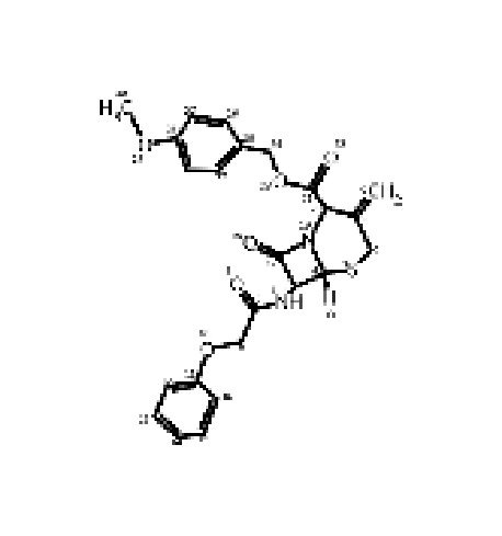 C=C1CS[C@@H]2C(NC(=O)COc3ccccc3)C(=O)N2C1C(=O)OCc1ccc(OC)cc1